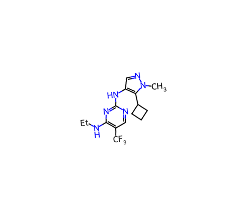 CCNc1nc(Nc2cnn(C)c2C2CCC2)ncc1C(F)(F)F